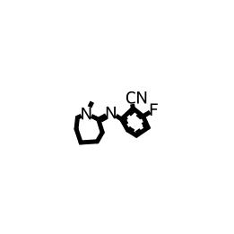 CN1CCCCCC1=Nc1cccc(F)c1C#N